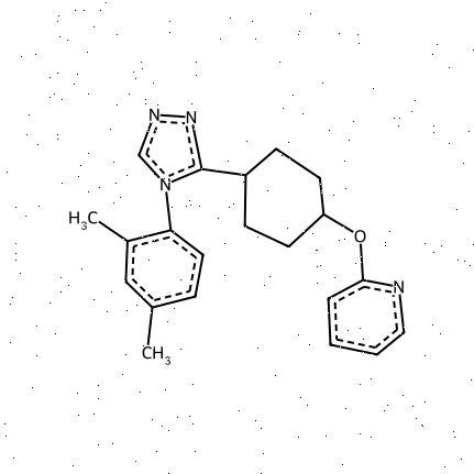 Cc1ccc(-n2cnnc2C2CCC(Oc3ccccn3)CC2)c(C)c1